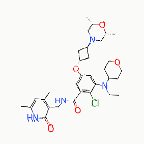 CCN(c1cc(O[C@H]2C[C@H](N3C[C@@H](C)O[C@@H](C)C3)C2)cc(C(=O)NCc2c(C)cc(C)[nH]c2=O)c1Cl)C1CCOCC1